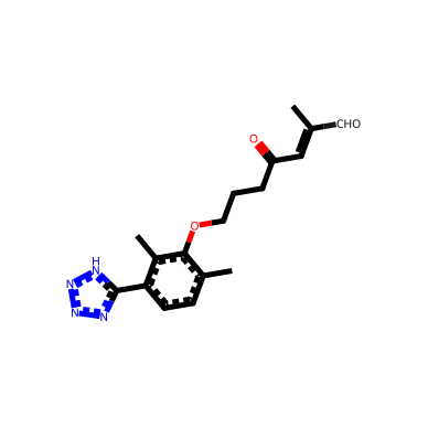 CC(C=O)=CC(=O)CCCOc1c(C)ccc(-c2nnn[nH]2)c1C